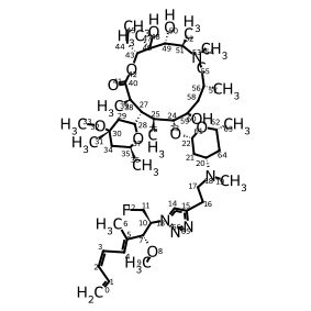 C=C/C=C\C=C(/C)[C@@H](OC)[C@@H](CF)n1cc(CCN(C)[C@@H]2C[C@H](O[C@@H]3[C@@H](C)[C@H](C4C[C@@](C)(OC)C[C@H](C)O4)[C@@H](C)C(=O)O[C@H](CC)[C@@](C)(O)[C@H](O)[C@@H](C)N(C)C[C@H](C)C[C@H]3O)O[C@H](C)C2)nn1